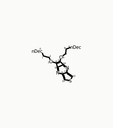 CCCCCCCCCCCCOC1=C(OCCCCCCCCCCCC)c2nc3cscc3nc21